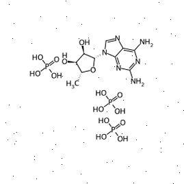 C[C@H]1O[C@@H](n2cnc3c(N)nc(N)nc32)[C@H](O)[C@@H]1O.O=P(O)(O)O.O=P(O)(O)O.O=P(O)(O)O